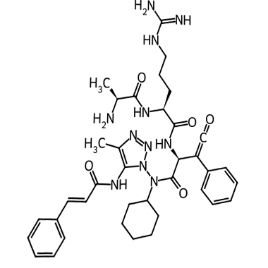 Cc1nnn(N(C(=O)[C@@H](NC(=O)[C@H](CCCNC(=N)N)NC(=O)[C@H](C)N)C(=C=O)c2ccccc2)C2CCCCC2)c1NC(=O)C=Cc1ccccc1